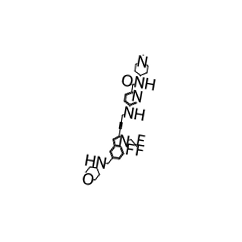 CN1CCC(NC(=O)c2ccc(NCC#Cc3cc4cc(CNC5CCOCC5)ccc4n3CC(F)(F)F)cn2)CC1